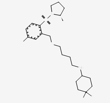 Cc1ccc(S(=O)(=O)N2CCC[C@H]2C(=O)O)c(COCCCCNC2CCC(F)(F)CC2)c1